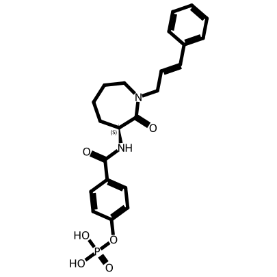 O=C(N[C@H]1CCCCN(CC=Cc2ccccc2)C1=O)c1ccc(OP(=O)(O)O)cc1